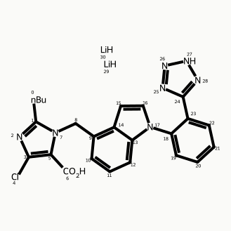 CCCCc1nc(Cl)c(C(=O)O)n1Cc1cccc2c1ccn2-c1ccccc1-c1nn[nH]n1.[LiH].[LiH]